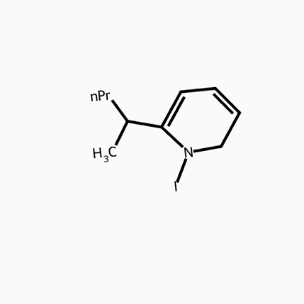 CCCC(C)C1=CC=CCN1I